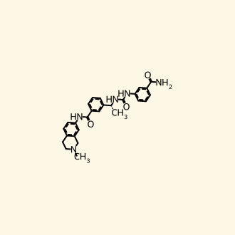 C[C@@H](NC(=O)Nc1cccc(C(N)=O)c1)c1cccc(C(=O)Nc2ccc3c(c2)CN(C)CC3)c1